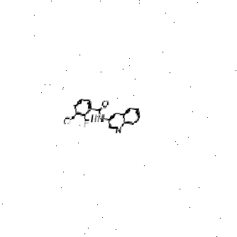 O=C(Nc1cnc2ccccc2c1)c1cccc(Cl)c1F